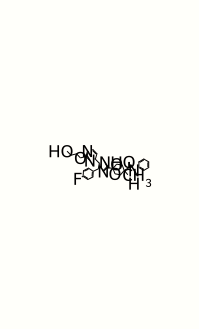 CC1(C(=O)Nc2ccccc2)COC(c2nc(-c3ccc(F)cc3)c(-c3ccnc(OCCO)n3)[nH]2)OC1